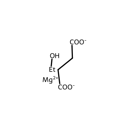 CCO.O=C([O-])CCC(=O)[O-].[Mg+2]